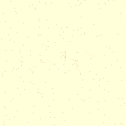 C=CC(=O)NC=NC(C)=O